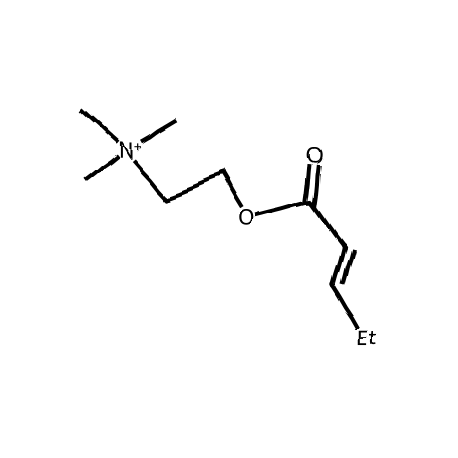 CCC=CC(=O)OCC[N+](C)(C)C